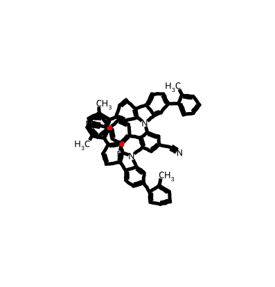 Cc1ccccc1-c1ccc2c3ccc(-c4ccccc4C)cc3n(-c3cc(C#N)cc(-n4c5cc(-c6ccccc6C)ccc5c5ccc(-c6ccccc6C)cc54)c3-c3ccc(C#N)cc3F)c2c1